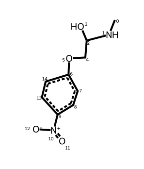 CNC(O)COc1ccc([N+](=O)[O-])cc1